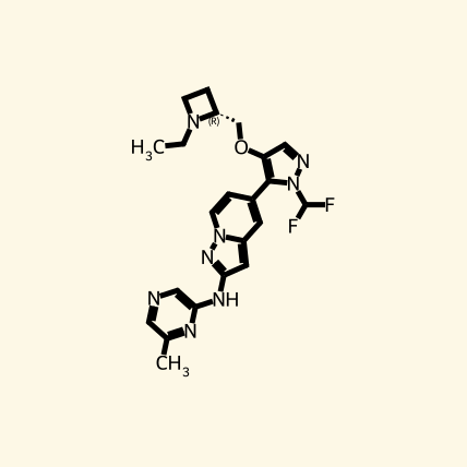 CCN1CC[C@@H]1COc1cnn(C(F)F)c1-c1ccn2nc(Nc3cncc(C)n3)cc2c1